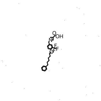 O=C(O)C1CN(Cc2ccc(OCCCCCCc3ccccc3)c(C(F)(F)F)c2)C1